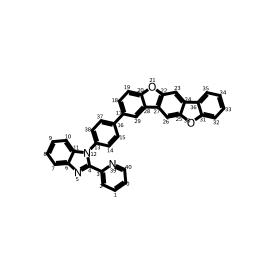 c1ccc(-c2nc3ccccc3n2-c2ccc(-c3ccc4oc5cc6c(cc5c4c3)oc3ccccc36)cc2)nc1